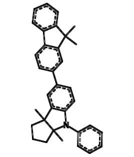 CC1(C)c2ccccc2-c2ccc(-c3ccc4c(c3)C3(C)CCCC3(C)N4c3ccccc3)cc21